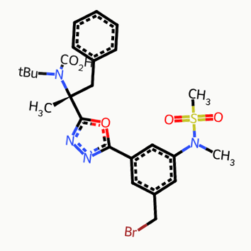 CN(c1cc(CBr)cc(-c2nnc([C@@](C)(Cc3ccccc3)N(C(=O)O)C(C)(C)C)o2)c1)S(C)(=O)=O